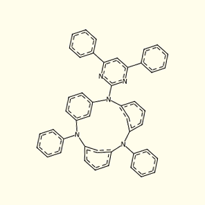 c1ccc(-c2cc(-c3ccccc3)nc(N3c4cccc(c4)N(c4ccccc4)c4cccc(c4)N(c4ccccc4)c4cccc3c4)n2)cc1